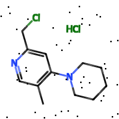 Cc1cnc(CCl)cc1N1CCCCC1.Cl